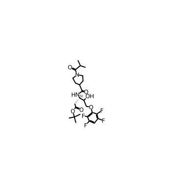 CC(C)C(=O)N1CCC(C(=O)N[C@@H](CC(=O)OC(C)(C)C)C(O)COc2c(F)c(F)cc(F)c2F)CC1